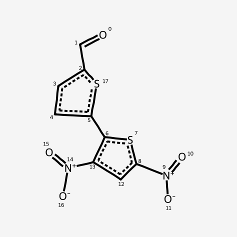 O=Cc1ccc(-c2sc([N+](=O)[O-])cc2[N+](=O)[O-])s1